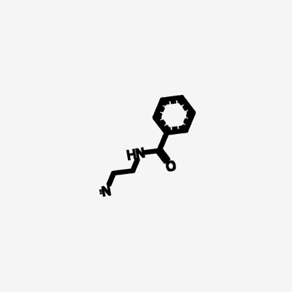 [N]CCNC(=O)c1ccccc1